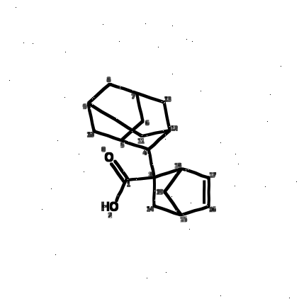 O=C(O)C1(C2C3CC4CC(C3)CC2C4)CC2C=CC1C2